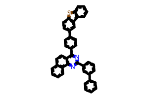 c1ccc(-c2cccc(-c3nc(-c4ccc(-c5ccc6sc7ccccc7c6c5)cc4)c4ccc5ccccc5c4n3)c2)cc1